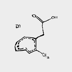 Cc1ccccc1CC(=O)O.[Zn]